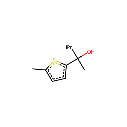 Cc1ccc(C(C)(O)C(C)C)s1